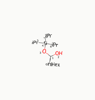 CCCCCCC(O)O[Si](C(C)C)(C(C)C)C(C)C